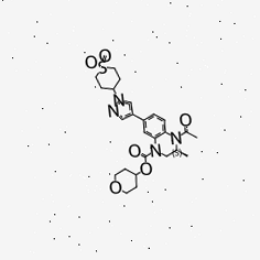 CC(=O)N1c2ccc(-c3cnn(C4CCS(=O)(=O)CC4)c3)cc2N(C(=O)OC2CCOCC2)C[C@@H]1C